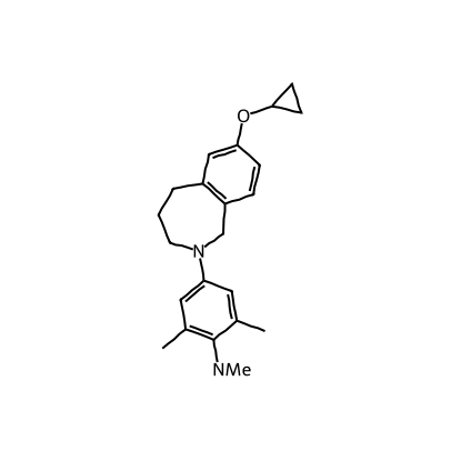 CNc1c(C)cc(N2CCCc3cc(OC4CC4)ccc3C2)cc1C